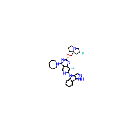 Fc1c(-n2c3ccccc3c3[nH]ncc32)ncc2c(N3CCC=CCC3)nc(OC[C@@]34CCCN3C[C@H](F)C4)nc12